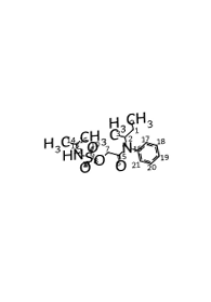 CCC(C)N(C(=O)COS(=O)(=O)NC(C)C)c1ccccc1